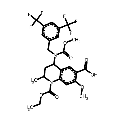 CCOC(=O)N1c2cc(OC)c(C(=O)O)cc2C(N(Cc2cc(C(F)(F)F)cc(C(F)(F)F)c2)C(=O)OC)CC1C